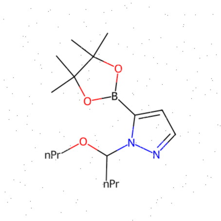 CCCOC(CCC)n1nccc1B1OC(C)(C)C(C)(C)O1